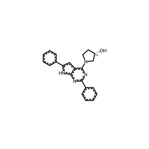 O[C@H]1CCN(c2nc(-c3ccccc3)nc3[nH]c(-c4ccccc4)cc23)C1